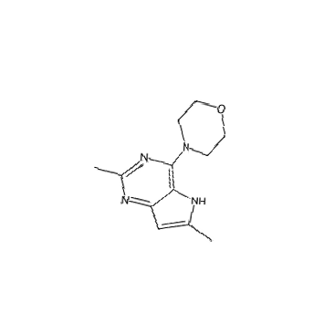 Cc1nc(N2CCOCC2)c2[nH]c(C)cc2n1